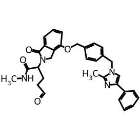 CNC(=O)C(CCC=O)N1Cc2c(OCc3ccc(Cn4cc(-c5ccccc5)nc4C)cc3)cccc2C1=O